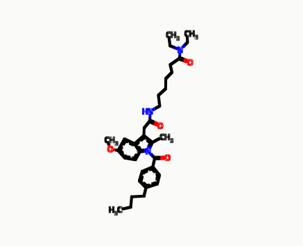 CCCCc1ccc(C(=O)n2c(C)c(CC(=O)NCCCCCCC(=O)N(CC)CC)c3cc(OC)ccc32)cc1